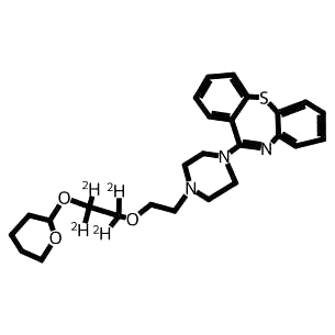 [2H]C([2H])(OCCN1CCN(C2=Nc3ccccc3Sc3ccccc32)CC1)C([2H])([2H])OC1CCCCO1